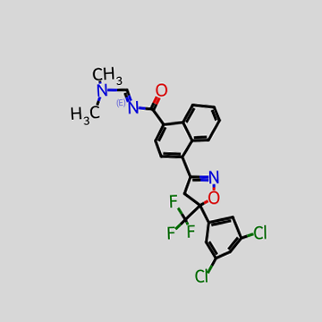 CN(C)/C=N/C(=O)c1ccc(C2=NOC(c3cc(Cl)cc(Cl)c3)(C(F)(F)F)C2)c2ccccc12